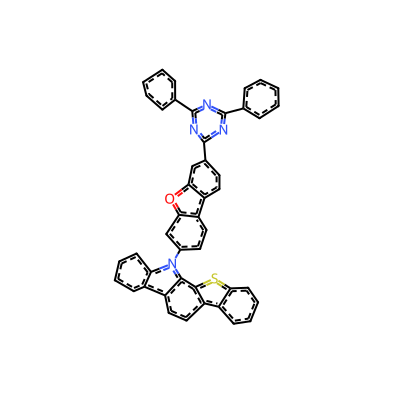 c1ccc(-c2nc(-c3ccccc3)nc(-c3ccc4c(c3)oc3cc(-n5c6ccccc6c6ccc7c8ccccc8sc7c65)ccc34)n2)cc1